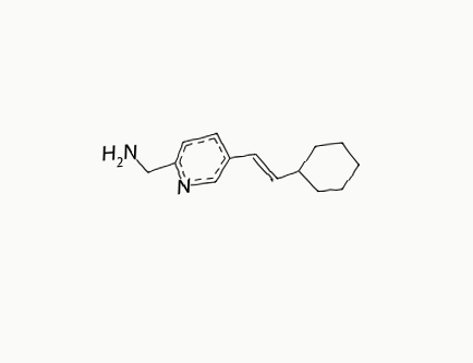 NCc1ccc(C=CC2CCCCC2)cn1